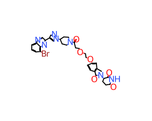 O=C1CCC(N2Cc3cc(OCCOCCC(=O)N4CCC(n5cc(-c6cnc7cccc(Br)c7n6)cn5)CC4)ccc3C2=O)C(=O)N1